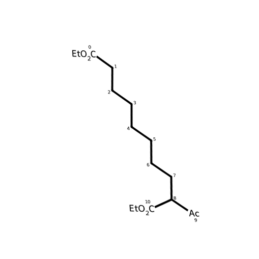 CCOC(=O)CCCCCCCC(C(C)=O)C(=O)OCC